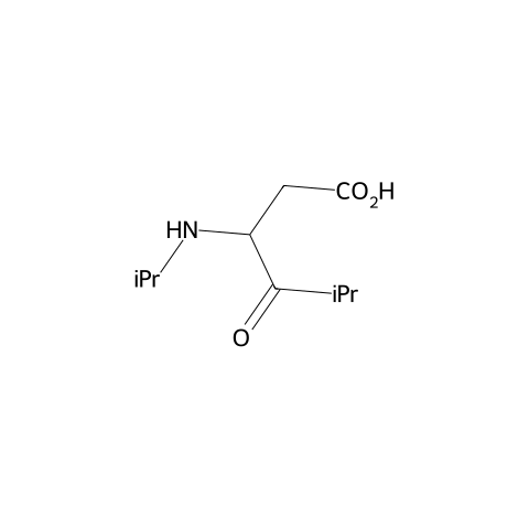 CC(C)NC(CC(=O)O)C(=O)C(C)C